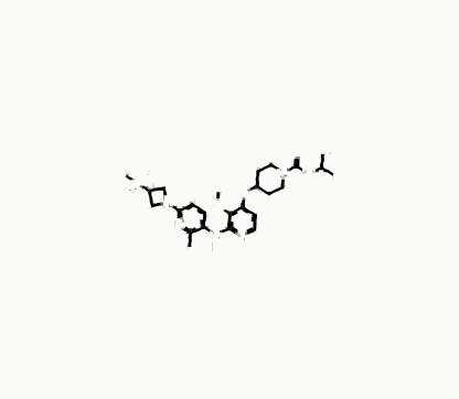 COc1c(OC2CCN(C(=O)OC(C)C)CC2)ccnc1Nc1ccc(N2CC(S(C)(=O)=O)C2)nc1C